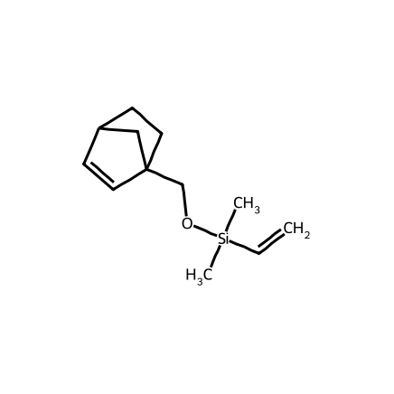 C=C[Si](C)(C)OCC12C=CC(CC1)C2